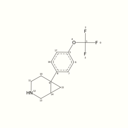 FC(F)(F)Oc1ccc(C23CCNCC2C3)cc1